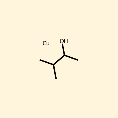 CC(C)C(C)O.[Cu]